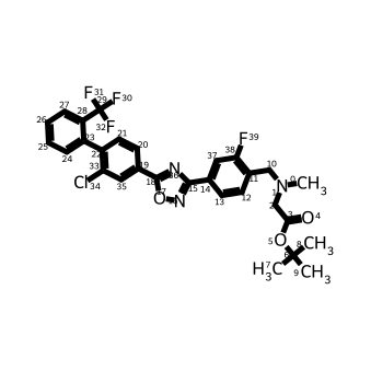 CN(CC(=O)OC(C)(C)C)Cc1ccc(-c2noc(-c3ccc(-c4ccccc4C(F)(F)F)c(Cl)c3)n2)cc1F